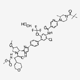 COC(=O)N[C@H](C(=O)N1C[C@@H](OC)C[C@H]1c1nc(-c2ccc(-c3cc(Cl)c(NC(=O)c4ccc(N5CCN(C(=O)C(C)(C)C)CC5C)nc4)cc3OC(F)(F)F)cc2)c[nH]1)C1CCOCC1.Cl.Cl